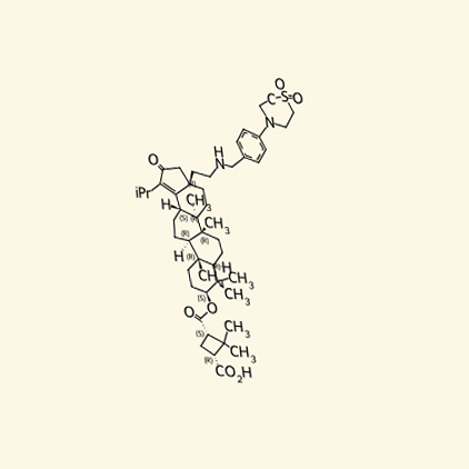 CC(C)C1=C2[C@H]3CC[C@@H]4[C@@]5(C)CC[C@H](OC(=O)[C@H]6C[C@@H](C(=O)O)C6(C)C)C(C)(C)[C@@H]5CC[C@@]4(C)[C@]3(C)CC[C@@]2(CCNCc2ccc(N3CCS(=O)(=O)CC3)cc2)CC1=O